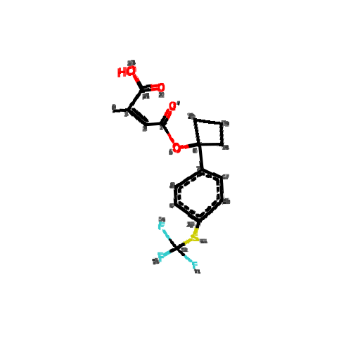 CC(=CC(=O)OC1(c2ccc(SC(F)(F)F)cc2)CCC1)C(=O)O